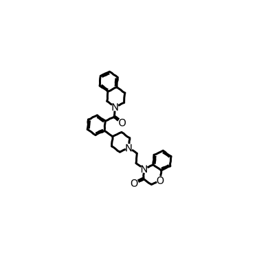 O=C(c1ccccc1C1CCN(CCN2C(=O)COc3ccccc32)CC1)N1CCc2ccccc2C1